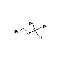 CC(C)[Si](OCC(C)(C)C)(C(C)C)C(C)C